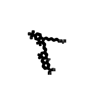 CCN(CC)c1ccc2cc3c([o+]c2c1)C=C(/C=C/C=C1/N(CCCCCC(=O)O)c2ccc(S(=O)(=O)[O-])cc2C1(C)C)CC3(C)C